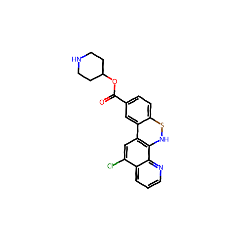 O=C(OC1CCNCC1)c1ccc2c(c1)-c1cc(Cl)c3cccnc3c1NS2